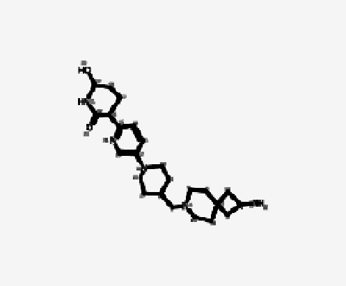 NC1CC2(CCN(CC3CCN(c4ccc(C5CCC(O)NC5=O)nc4)CC3)CC2)C1